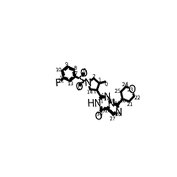 CC1CN(S(=O)(=O)c2cccc(F)c2)CC1c1nn2c(C3CCOCC3)ncc2c(=O)[nH]1